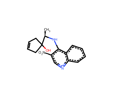 C[C@@H](Nc1c([N+](=O)[O-])cnc2ccccc12)C1(O)CC=CC1